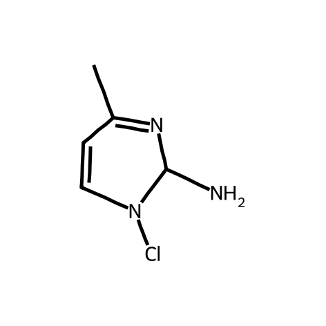 CC1=NC(N)N(Cl)C=C1